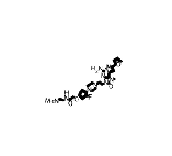 CNCCNC(=O)COc1ccc(N2CCN(CCn3c(=O)n(C)c4c3nc(N)n3nc(-c5ccco5)cc43)CC2)c(F)c1